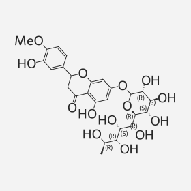 COc1ccc(C2CC(=O)c3c(O)cc(OC4O[C@H]([C@H](O)[C@@H](O)[C@H](O)[C@@H](C)O)[C@@H](O)[C@H](O)[C@H]4O)cc3O2)cc1O